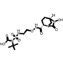 CC(C)(C)N(C(=O)O)S(=O)(=O)NCCONC(=O)[C@@H]1CC[C@@H]2CN1C(=O)N2O